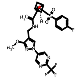 C=C(NCc1cn(-c2cnc(C(F)(F)F)nc2)nc1OC)[C@@H]1C2CC(C2)N1S(=O)(=O)c1ccc(F)cc1